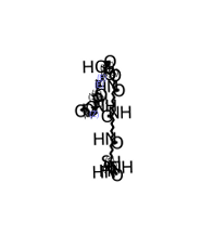 CC(=O)O[C@@H](C)/C=C\C(=O)N[C@@H]1C[C@H](C)[C@H](C/C=C(C)/C=C/[C@H]2O[C@](C)(OCCNC(=O)CCCCCNC(=O)CCCCCNC(=O)CCCC[C@@H]3SC[C@@H]4NC(=O)N[C@@H]43)C[C@@]3(CO3)[C@@H]2O)O[C@@H]1C